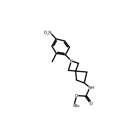 Cc1cc([N+](=O)[O-])ccc1N1CC2(CC(NC(=O)OC(C)(C)C)C2)C1